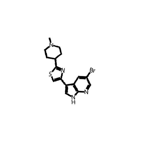 CN1CCC(c2nc(-c3c[nH]c4ncc(Br)cc34)cs2)CC1